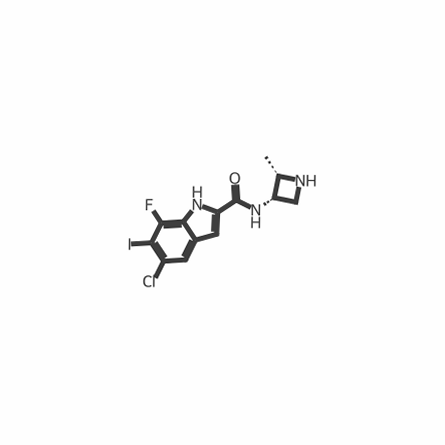 C[C@@H]1NC[C@@H]1NC(=O)c1cc2cc(Cl)c(I)c(F)c2[nH]1